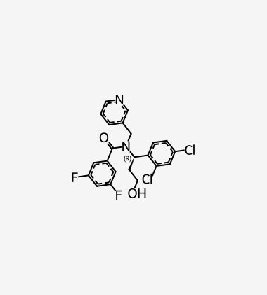 O=C(c1cc(F)cc(F)c1)N(Cc1cccnc1)[C@H](CCO)c1ccc(Cl)cc1Cl